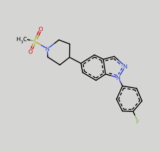 CS(=O)(=O)N1CCC(c2ccc3c(cnn3-c3ccc(F)cc3)c2)CC1